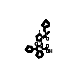 C[C@H]1CC[C@@H](CN(CC(=O)O)C(=O)C(c2ccccc2)c2ccccc2)N1C(=O)N(C)Cc1ccccc1